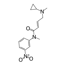 CN(C(=O)C=CCN(C)C1CC1)c1cccc([N+](=O)[O-])c1